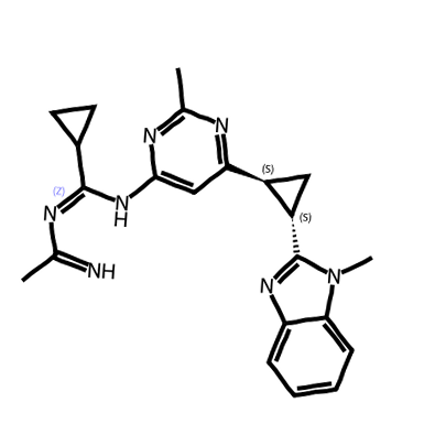 CC(=N)/N=C(\Nc1cc([C@H]2C[C@@H]2c2nc3ccccc3n2C)nc(C)n1)C1CC1